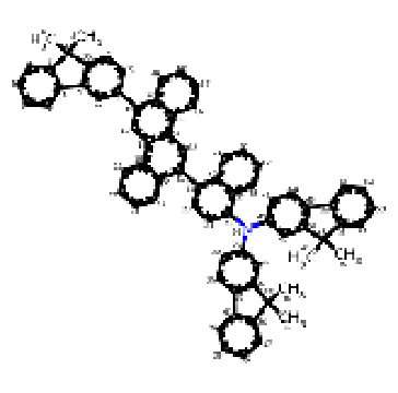 CC1(C)c2ccccc2-c2cc(-c3cc4c5ccccc5c(-c5ccc(N(c6ccc7c(c6)C(C)(C)c6ccccc6-7)c6ccc7c(c6)C(C)(C)c6ccccc6-7)c6ccccc56)cc4c4ccccc34)ccc21